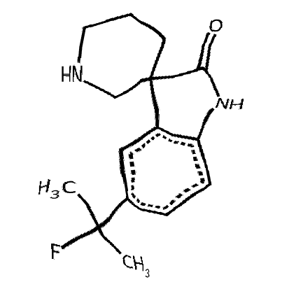 CC(C)(F)c1ccc2c(c1)C1(CCCNC1)C(=O)N2